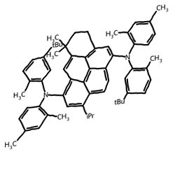 Cc1ccc(N(c2cc(C(C)(C)C)ccc2C)c2cc(C(C)C)c3ccc4c(N(c5ccc(C)cc5C)c5cc(C(C)(C)C)ccc5C)cc5c6c(cc2c3c46)C(C)(C)CC5)c(C)c1